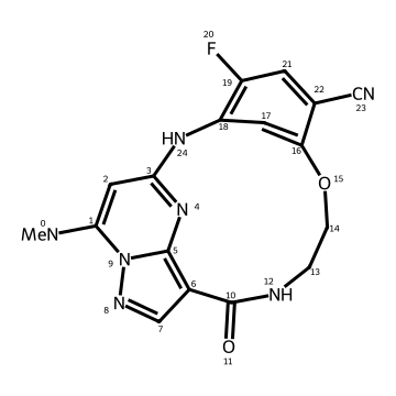 CNc1cc2nc3c(cnn13)C(=O)NCCOc1cc(c(F)cc1C#N)N2